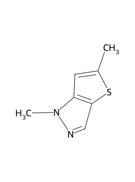 Cc1cc2c(cnn2C)s1